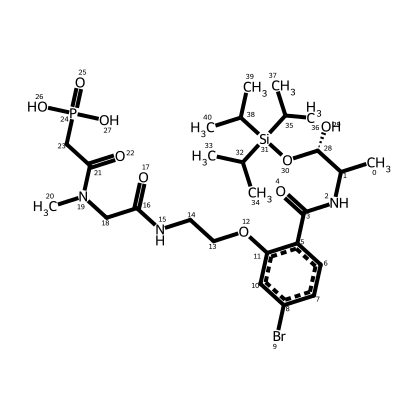 CC(NC(=O)c1ccc(Br)cc1OCCNC(=O)CN(C)C(=O)CP(=O)(O)O)[C@@H](O)O[Si](C(C)C)(C(C)C)C(C)C